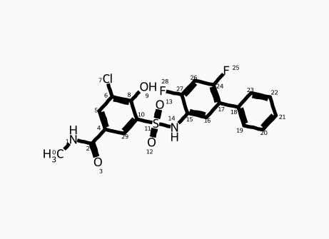 CNC(=O)c1cc(Cl)c(O)c(S(=O)(=O)Nc2cc(-c3ccccc3)c(F)cc2F)c1